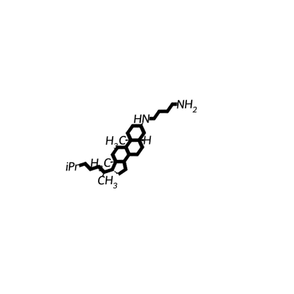 CC(C)CCC[C@@H](C)[C@H]1CCC2C3CC[C@H]4C[C@@H](NCCCCN)CC[C@]4(C)C3CC[C@@]21C